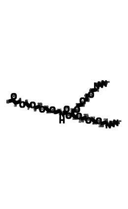 CC(=O)CCOCCOCCOCCOCCNC(=O)OC(COCCOCCOCCN=[N+]=[N-])COCCOCCOCCN=[N+]=[N-]